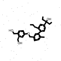 CCCc1cc(C(O)(CC)CC)ccc1-c1cc(COc2ccc(CO)c(CO)c2)ccc1C